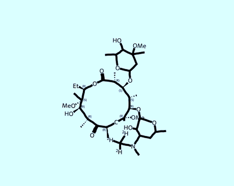 [2H]C([2H])([2H])N(C)C1CC(C)OC(O[C@@H]2[C@@H](C)[C@H](OC3CC(C)(OC)C(O)C(C)O3)[C@@H](C)C(=O)O[C@H](CC)[C@@](C)(OC)[C@H](O)[C@@H](C)C(=O)[C@H](C)C[C@@]2(C)OC)C1O